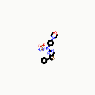 N[SH](=O)=O.c1ccc(-c2csc3cnc(Nc4ccc(N5CCOCC5)cc4)nc23)cc1